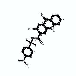 C[S+]([O-])c1ccc(C(C)(C)NC(=O)c2cc3[nH]c4ccccc4c(=O)c3cc2F)cc1